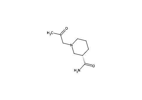 CC(=O)CN1CCC[C@H](C(N)=O)C1